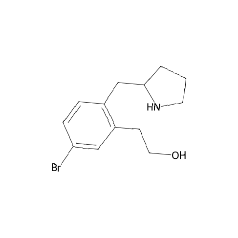 OCCc1cc(Br)ccc1CC1CCCN1